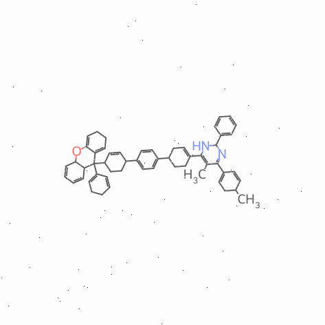 CC1=C(C2=CCC(c3ccc(C4C=CC(C5(C6=CCCC=C6)C6=CCCC=C6OC6C=CC=CC65)CC4)cc3)CC2)NC(c2ccccc2)N=C1C1=CCC(C)C=C1